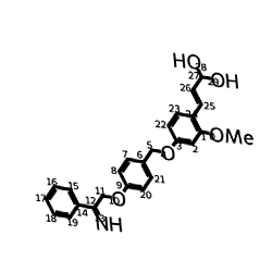 COc1cc(OCc2ccc(OCC(=N)c3ccccc3)cc2)ccc1/C=C/C(O)O